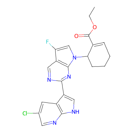 CCOC(=O)C1=CCCCC1n1cc(F)c2cnc(-c3c[nH]c4ncc(Cl)cc34)nc21